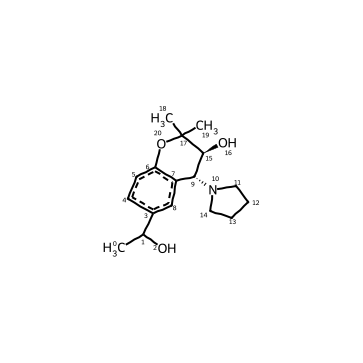 CC(O)c1ccc2c(c1)[C@@H](N1CCCC1)[C@H](O)C(C)(C)O2